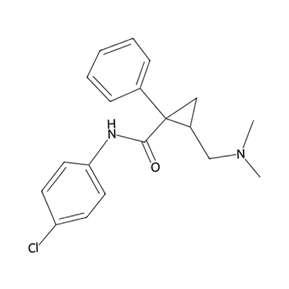 CN(C)CC1CC1(C(=O)Nc1ccc(Cl)cc1)c1ccccc1